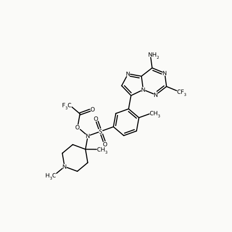 Cc1ccc(S(=O)(=O)N(OC(=O)C(F)(F)F)C2(C)CCN(C)CC2)cc1-c1cnc2c(N)nc(C(F)(F)F)nn12